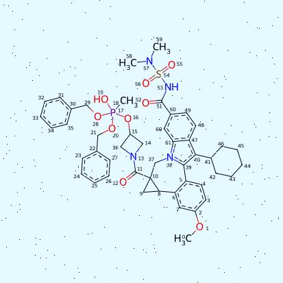 COc1ccc2c(c1)C1CC1(C(=O)N1CC(OP(C)(O)(OCc3ccccc3)OCc3ccccc3)C1)Cn1c-2c(C2CCCCC2)c2ccc(C(=O)NS(=O)(=O)N(C)C)cc21